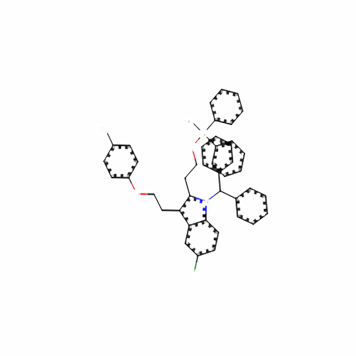 CC(C)(C)[Si](OCCc1c(CCOc2ccc(C=O)cc2)c2cc(Cl)ccc2n1C(c1ccccc1)c1ccccc1)(c1ccccc1)c1ccccc1